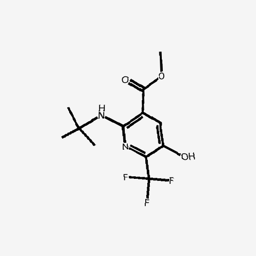 COC(=O)c1cc(O)c(C(F)(F)F)nc1NC(C)(C)C